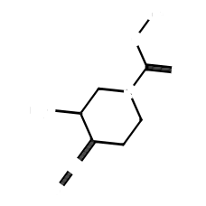 CC(C)(C)OC(=O)N1CCC(=C=O)C(C(=O)O)C1